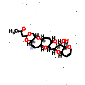 CC(=O)CC1OC[C@H]2O[C@H]3C=C[C@H]4O[C@H]5[C@H](O)[C@H]6OCC=CC[C@@H]6O[C@@H]5C[C@@H]4O[C@@H]3C/C=C\[C@@H]2O1